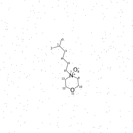 CC(C)CCCC[N+]1([O-])CCOCC1